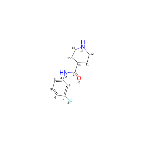 O=C(Nc1cccc(F)c1)C1CCNCC1